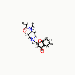 CCC(=O)N(CC)C1CCN(Cc2cc(=O)c3ccccc3o2)CC1